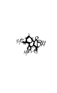 C=Cc1c(C(=O)O)c(C(=O)O)c2cccc(C=C)c2c1C=C